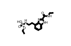 CCNC(=O)c1nc2c(CCNP(=O)(O)OCC)cccc2[nH]1